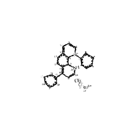 C1=CN(c2ccccc2)c2c3c(ccc2=C1)=C(c1ccccc1)C=CN3.[Cl-].[Cl-].[Ru+2]